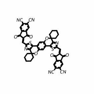 N#Cc1cc2c(cc1C#N)C(=O)C(=Cc1nc3c(s1)-c1cc4c(cc1OC31CCCCC1)-c1sc(C=C3C(=O)c5cc(C#N)c(C#N)cc5C3=O)nc1C1(CCCCC1)O4)C2=O